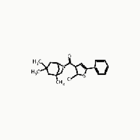 CC1(C)CC2CC(C)(CN2C(=O)C2C=C(c3ccccc3)SC2Cl)C1